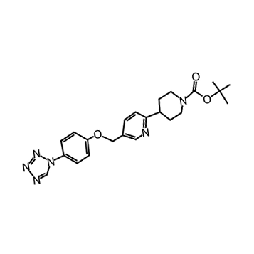 CC(C)(C)OC(=O)N1CCC(c2ccc(COc3ccc(-n4cnnn4)cc3)cn2)CC1